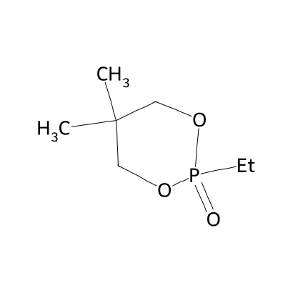 [CH2]CP1(=O)OCC(C)(C)CO1